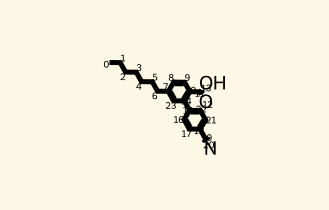 CCCCCCCc1ccc(C(=O)O)c(-c2ccc(C#N)cc2)c1